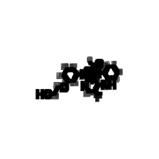 CS(=O)(=O)Nc1ccccc1Nc1nc(Nc2cccc(OCCO)c2)ncc1F